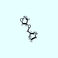 [c]1nocc1OCc1nccs1